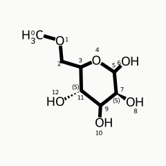 COCC1OC(O)[C@@H](O)C(O)[C@@H]1O